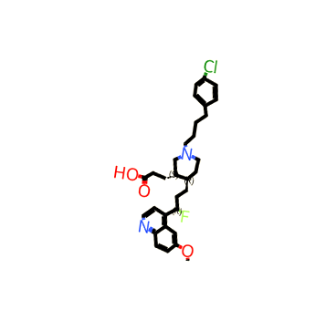 COc1ccc2nccc([C@H](F)CC[C@@H]3CCN(CCCCc4ccc(Cl)cc4)C[C@H]3CCC(=O)O)c2c1